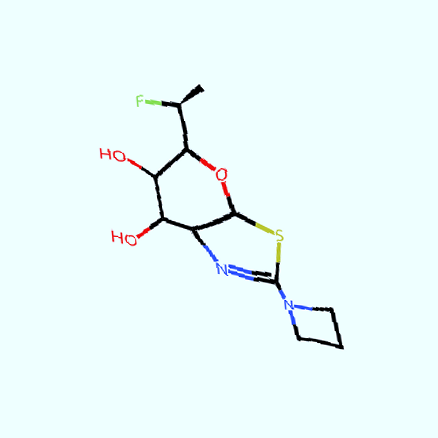 C[C@H](F)C1OC2SC(N3CCC3)=NC2C(O)C1O